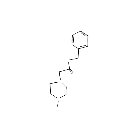 CN1CCN(CC(=O)NCc2ccccn2)CC1